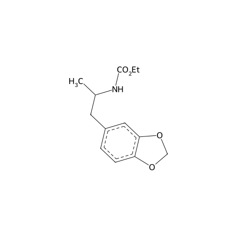 CCOC(=O)NC(C)Cc1ccc2c(c1)OCO2